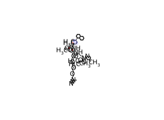 C=C(/C=C\C(=C/C)c1cccc2ccccc12)[C@H](CC(=O)OC)NC(=O)[C@H](COCCOCCOCCOCCN=[N+]=[N-])NC(=O)CCCN(C(=O)OC(C)(C)C)c1cc(C)ccn1